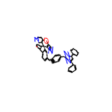 c1ccc(-c2cc(-c3ccccc3)nc(-c3ccc(-c4ccc5c(c4)C4(c6cnccc6Oc6ccncc64)c4ccccc4-5)cc3)n2)cc1